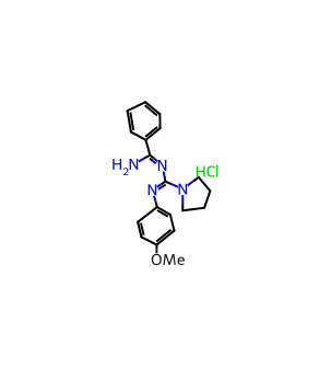 COc1ccc(/N=C(/N=C(\N)c2ccccc2)N2CCCC2)cc1.Cl